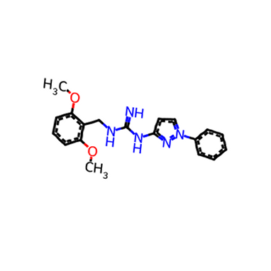 COc1cccc(OC)c1CNC(=N)Nc1ccn(-c2ccccc2)n1